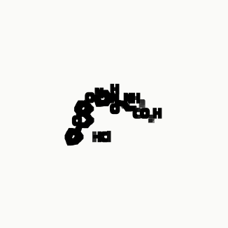 Cl.N[C@@H](CCC(=O)O)C(=O)Nc1ccc(Oc2ccc3c(c2)CCC(c2ccccc2)O3)nc1